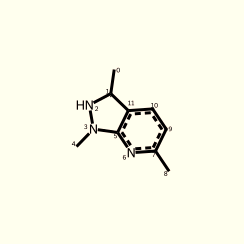 C[C]1NN(C)c2nc(C)ccc21